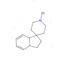 CCN1CCC2(CCC3C=CC=CC32)CC1